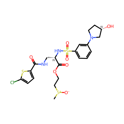 C[S+]([O-])CCOC(=O)[C@H](CNC(=O)c1ccc(Cl)s1)NS(=O)(=O)c1cccc(N2CC[C@H](O)C2)c1